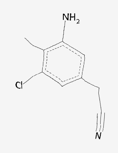 Cc1c(N)cc(CC#N)cc1Cl